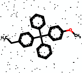 CCc1ccc([Si](c2ccccc2)(c2ccccc2)c2ccc(OC)cc2)cc1